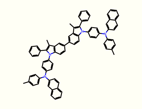 Cc1ccc(N(c2ccc(-n3c(-c4ccccc4)c(C)c4cc(-c5ccc6c(c5)c(C)c(-c5ccccc5)n6-c5ccc(N(c6ccc(C)cc6)c6ccc7ccccc7c6)cc5)ccc43)cc2)c2ccc3ccccc3c2)cc1